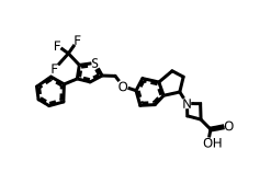 O=C(O)C1CN(C2CCc3cc(OCc4cc(-c5ccccc5)c(C(F)(F)F)s4)ccc32)C1